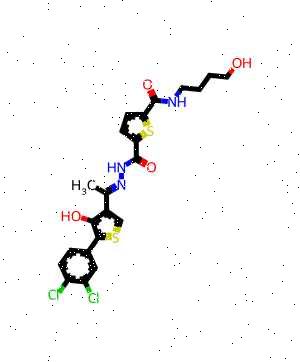 C/C(=N\NC(=O)c1ccc(C(=O)NCCCCO)s1)c1csc(-c2ccc(Cl)c(Cl)c2)c1O